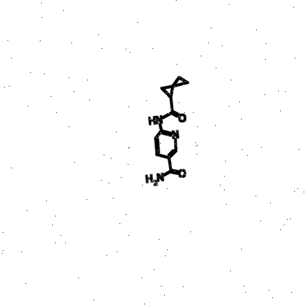 NC(=O)c1ccc(NC(=O)C2CC23CC3)nc1